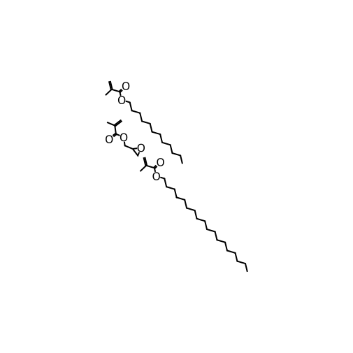 C=C(C)C(=O)OCC1CO1.C=C(C)C(=O)OCCCCCCCCCCCC.C=C(C)C(=O)OCCCCCCCCCCCCCCCCCC